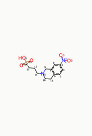 O=[N+]([O-])c1ccc2c(c1)CN(CCCS(=O)(=O)O)CC2